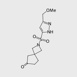 COCc1cc(S(=O)(=O)N2CC3(CCC(=O)C3)C2)[nH]n1